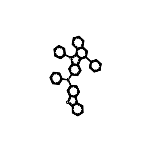 c1ccc(-c2cc3ccccc3c3c2c2ccc(N(c4ccccc4)c4ccc5c(c4)oc4ccccc45)cc2n3-c2ccccc2)cc1